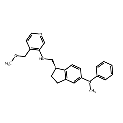 COCc1ccncc1NC[C@@H]1CCc2cc(N(C)c3ccccc3)ccc21